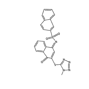 Cn1nnnc1SC1=C/C(=N/S(=O)(=O)c2ccc3ccccc3c2)c2ccccc2C1=O